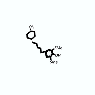 CSc1cc(CCCCC[C@H]2CC[C@H](O)CC2)cc(SC)c1O